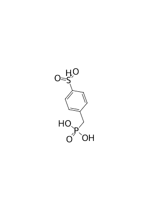 O=[SH](=O)c1ccc(CP(=O)(O)O)cc1